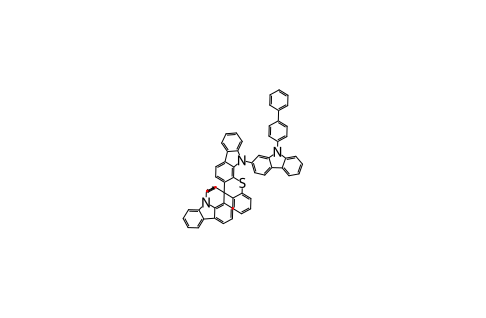 c1ccc(-c2ccc(-n3c4ccccc4c4ccc(-n5c6ccccc6c6ccc7c(c65)Sc5ccccc5C75c6ccccc6-n6c7ccccc7c7cccc5c76)cc43)cc2)cc1